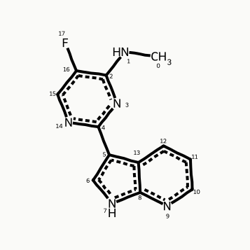 CNc1nc(-c2c[nH]c3ncccc23)ncc1F